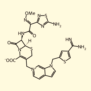 CON=C(C(=O)N[C@@H]1C(=O)N2C(C(=O)[O-])=C(C[n+]3ccc4ccn(Cc5cc(C(=N)N)cs5)c4c3)CS[C@H]12)c1nsc(N)n1